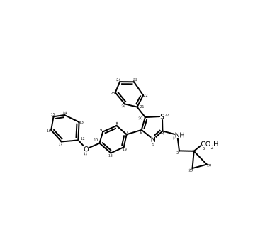 O=C(O)C1(CNc2nc(-c3ccc(Oc4ccccc4)cc3)c(-c3ccccc3)s2)CC1